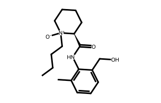 CCCC[N+]1([O-])CCCC[C@H]1C(=O)Nc1c(C)cccc1CO